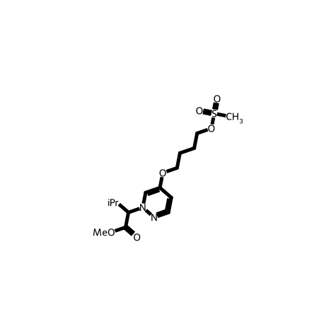 COC(=O)C(C(C)C)N1C=C(OCCCCOS(C)(=O)=O)C=C=N1